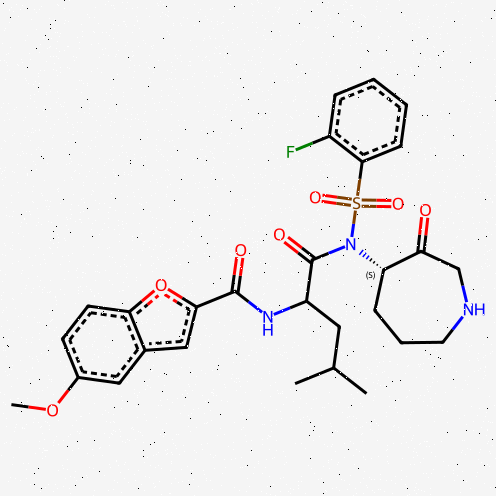 COc1ccc2oc(C(=O)NC(CC(C)C)C(=O)N([C@H]3CCCNCC3=O)S(=O)(=O)c3ccccc3F)cc2c1